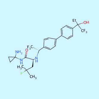 CCC(O)(c1ccc(-c2ccc([C@H](N[C@@H](CC(C)(C)F)C(=O)NC3(N)CC3)C(F)(F)F)cc2)cc1)C(F)(F)F